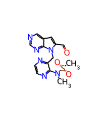 CN(c1nccnc1Cn1c(C=O)cc2cncnc21)S(C)(=O)=O